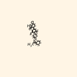 CN(CCN1CCN(c2c(F)cc(C3CCC(=O)NC3=O)cc2F)CC1)C1CCCCC1